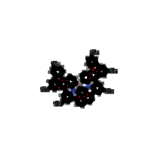 CC(C)(C)c1cc(-c2ccccc2)c(N2c3cc(-n4c5ccc(C(C)(C)C)cc5c5cc(C(C)(C)C)ccc54)ccc3B3c4ccc(-n5c6ccc(C(C)(C)C)cc6c6cc(C(C)(C)C)ccc65)cc4N(c4c(-c5ccccc5)cc(C(C)(C)C)cc4-c4ccccc4)c4cccc2c43)c(-c2ccccc2)c1